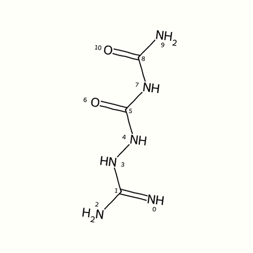 N=C(N)NNC(=O)NC(N)=O